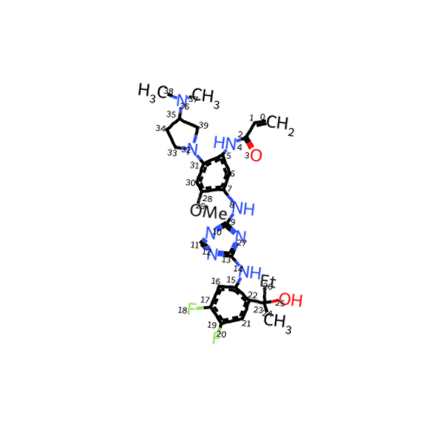 C=CC(=O)Nc1cc(Nc2ncnc(Nc3cc(F)c(F)cc3C(C)(O)CC)n2)c(OC)cc1N1CCC(N(C)C)C1